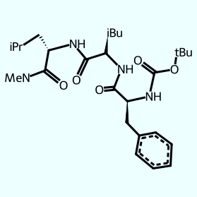 CC[C@H](C)C(NC(=O)[C@H](Cc1ccccc1)NC(=O)OC(C)(C)C)C(=O)N[C@@H](CC(C)C)C(=O)NC